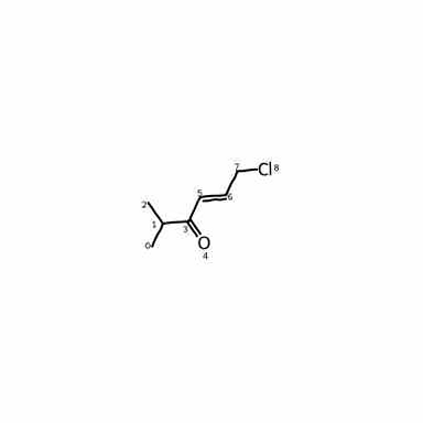 CC(C)C(=O)/C=C/CCl